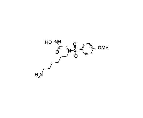 COc1ccc(S(=O)(=O)N(CCCCCCN)CC(=O)NO)cc1